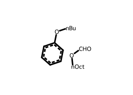 CCCCCCCCOC=O.CCCCOc1ccccc1